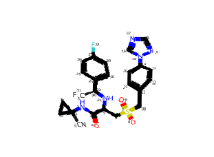 N#CC1(NC(=O)C(CS(=O)(=O)Cc2ccc(-n3cncn3)cc2)N[C@H](c2ccc(F)cc2)C(F)(F)F)CC1